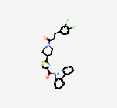 O=C(Nc1ccccc1-c1ccccc1)c1csc(C2CCN(C(=O)CCc3ccc(F)c(F)c3)CC2)n1